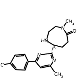 Cc1cc(-c2ccc(C(F)(F)F)cc2)nc([C@H]2CCC(=O)N(C)CCN2)n1